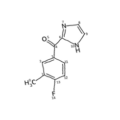 Cc1cc(C(=O)c2ncc[nH]2)ccc1F